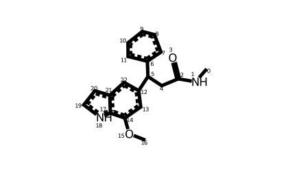 CNC(=O)CC(c1ccccc1)c1cc(OC)c2[nH]ccc2c1